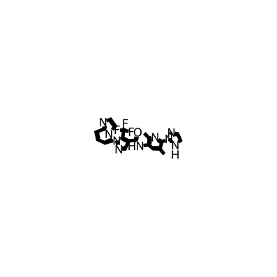 Cc1cc(NC(=O)c2cnn(-c3cccc4nccn34)c2C(F)(F)F)c(C)nc1N1N=CCN1